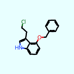 ClCCc1c[nH]c2cccc(OCc3ccccc3)c12